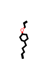 C=CCCCC1CCC(OCC=C)CC1